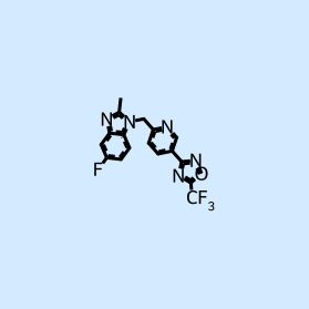 Cc1nc2cc(F)ccc2n1Cc1ccc(-c2noc(C(F)(F)F)n2)cn1